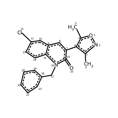 Cc1noc(C)c1-c1[c]c2cc(Cl)ccc2n(Cc2ccccc2)c1=O